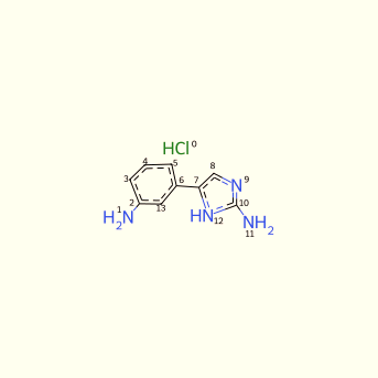 Cl.Nc1cccc(-c2cnc(N)[nH]2)c1